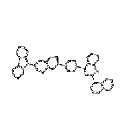 c1ccc2c(-c3nc(-c4ccc(-c5ccc6cc(-n7c8ccccc8c8ccccc87)ccc6c5)cc4)c4ccccc4n3)cccc2c1